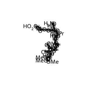 COC(=O)c1cc2c3c(cc(OC(=O)N(C)CCN(C)C(=O)OCc4ccc(NC(=O)[C@@H](NC(=O)[C@H](CCCNC(N)=O)NC(=O)CCOCCOCCC(=O)N5CCC(C(=O)O)CC5)C(C)C)cc4)c2[nH]1)N(C(=O)c1cc2cc(OC)c(OC)c(OC)c2[nH]1)C[C@H]3CCl